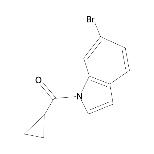 O=C(C1CC1)n1ccc2ccc(Br)cc21